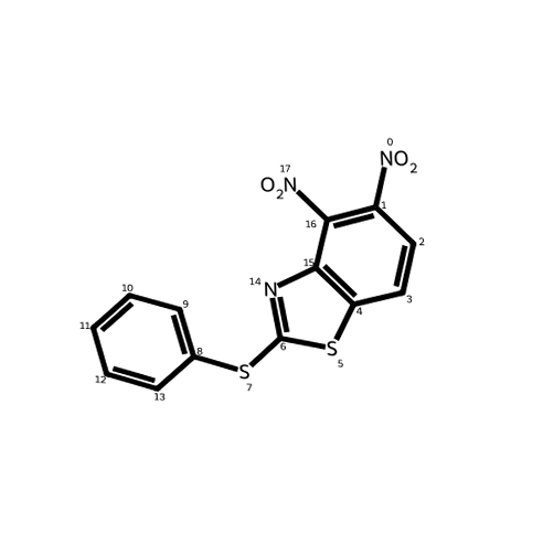 O=[N+]([O-])c1ccc2sc(Sc3ccccc3)nc2c1[N+](=O)[O-]